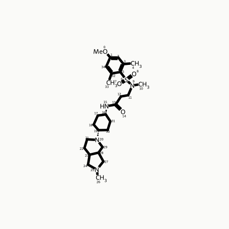 COc1cc(C)c(S(=O)(=O)N(C)CCC(=O)N[C@H]2CC[C@@H](N3CCC4CN(C)CC4C3)CC2)c(C)c1